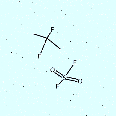 CC(C)(F)F.O=S(=O)(F)F